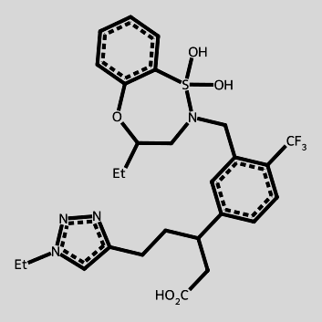 CCC1CN(Cc2cc(C(CCc3cn(CC)nn3)CC(=O)O)ccc2C(F)(F)F)S(O)(O)c2ccccc2O1